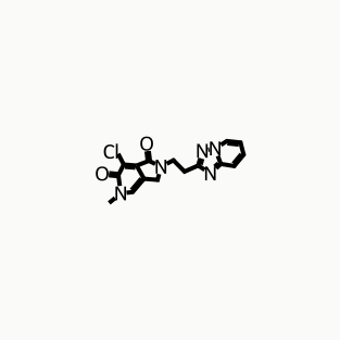 Cn1cc2c(c(Cl)c1=O)C(=O)N(CCc1nc3ccccn3n1)C2